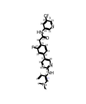 C=C/C(=C\N(C)C)Nc1ncc(-c2ccc(CC(=O)Nc3cncc(C(F)(F)F)c3)c(F)c2)cn1